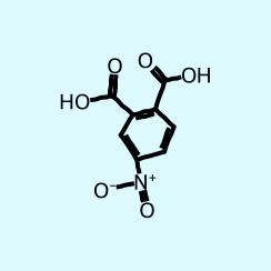 O=C(O)c1ccc([N+](=O)[O-])cc1C(=O)O